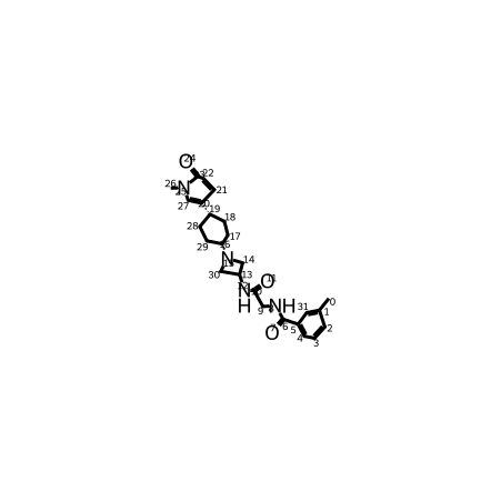 Cc1cccc(C(=O)NCC(=O)NC2CN([C@H]3CC[C@@H](c4ccc(=O)n(C)c4)CC3)C2)c1